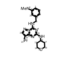 CNc1cccc(CNc2nc(NC3CCOCC3)nc3c(C(C)C)cnn23)c1